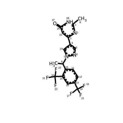 Cc1nc(-c2cnn(C(C)c3ccc(C(F)(F)F)cc3C(F)(F)F)c2)cc(=O)[nH]1